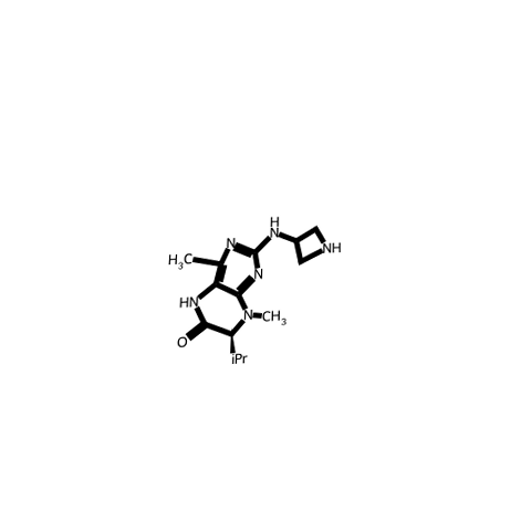 Cc1nc(NC2CNC2)nc2c1NC(=O)[C@H](C(C)C)N2C